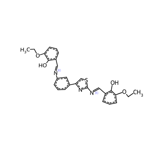 CCOc1cccc(/C=N/c2cccc(-c3csc(/N=C/c4cccc(OCC)c4O)n3)c2)c1O